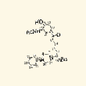 CCCCC(CCCCC(=O)c1ccc(O)c(NC(C)=O)c1)N1CCN(c2ccccc2)CC1